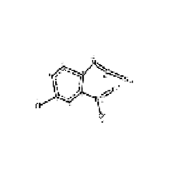 O=[N+]([O-])c1cc(Cl)ccc1N=C=S